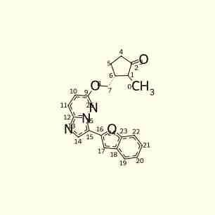 CC1C(=O)CC[C@H]1COc1ccc2ncc(-c3cc4ccccc4o3)n2n1